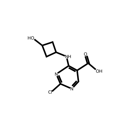 O=C(O)c1cnc(Cl)nc1NC1CC(O)C1